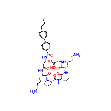 CCCCc1ccc(-c2ccc(C(=O)NCCC(=O)N[C@@H](CCCCN)C(=O)N3CCC[C@H]3C(=O)N[C@@H](CC)C(=O)N[C@@H](CCCCN)C(=O)N[C@@H](C)B(O)O)cc2)cc1